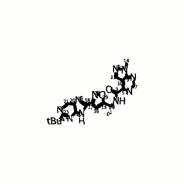 C[C@@H](NC(=O)c1ncnc2c1cnn2C)c1cc(-c2nc3cnc(C(C)(C)C)nc3[nH]2)no1